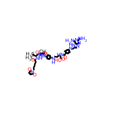 CC(C)C(NC(=O)CCCCCN1C(=O)C=CC1=O)C(=O)N[C@@H](C)C(=O)Nc1ccc(NCCC[C@H](NC(=O)c2ccc(NCc3cnc4nc(N)nc(N)c4n3)cc2)C(=O)O)cc1